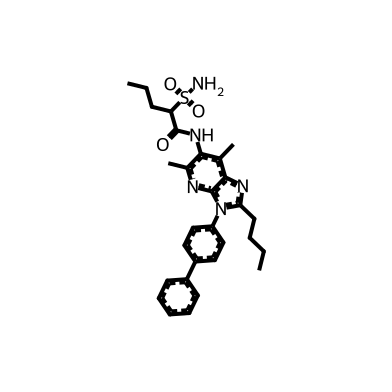 CCCCc1nc2c(C)c(NC(=O)C(CCC)S(N)(=O)=O)c(C)nc2n1-c1ccc(-c2ccccc2)cc1